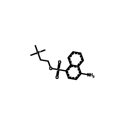 C[N+](C)(C)CCOS(=O)(=O)c1ccc(N)c2ccccc12